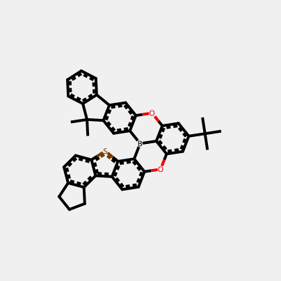 CC(C)(C)c1cc2c3c(c1)Oc1ccc4c(sc5ccc6c(c54)CCC6)c1B3c1cc3c(cc1O2)-c1ccccc1C3(C)C